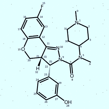 CN1CCC(N(C)C(=O)N2N=C3c4cc(F)ccc4OC[C@H]3[C@H]2c2cccc(O)c2)CC1